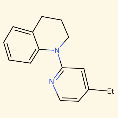 CCc1ccnc(N2CCCc3ccccc32)c1